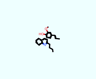 CC=Cc1ccc(O)c(OC)c1.CCCCc1ccc2ccccc2n1